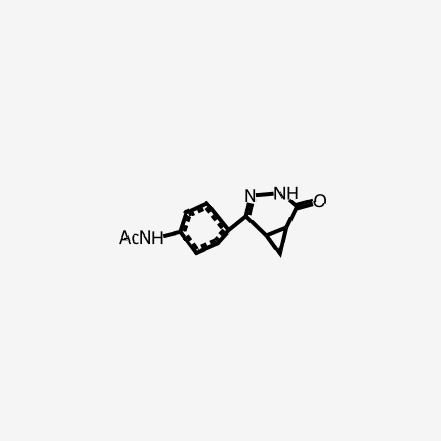 CC(=O)Nc1ccc(C2=NNC(=O)C3CC23)cc1